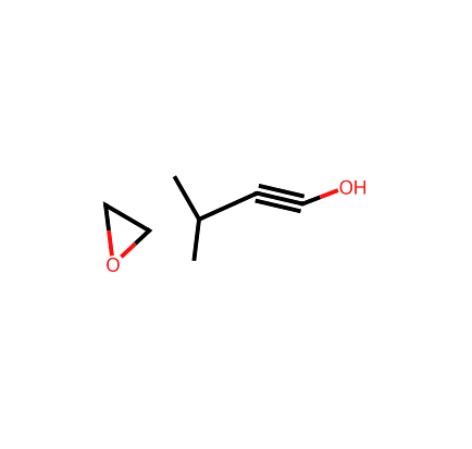 C1CO1.CC(C)C#CO